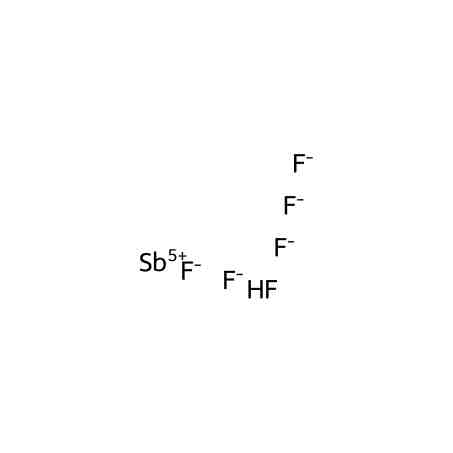 F.[F-].[F-].[F-].[F-].[F-].[Sb+5]